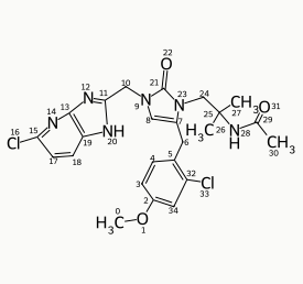 COc1ccc(Cc2cn(Cc3nc4nc(Cl)ccc4[nH]3)c(=O)n2CC(C)(C)NC(C)=O)c(Cl)c1